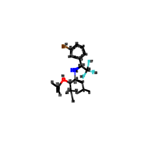 CC(C)C[C@H](N[C@@H](c1cccc(Br)c1)C(F)(F)F)C(O[SiH](C)C)C(C)(C)C